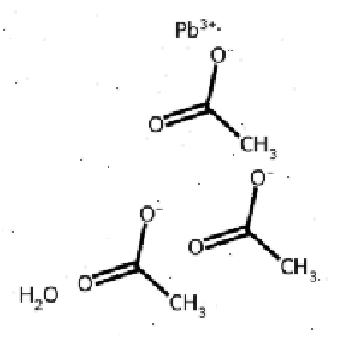 CC(=O)[O-].CC(=O)[O-].CC(=O)[O-].O.[Pb+3]